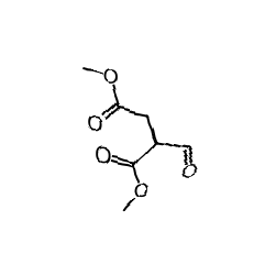 COC(=O)CC(C=O)C(=O)OC